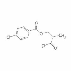 CC(COC(=O)c1ccc(Cl)cc1)C(=O)Cl